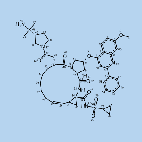 COc1ccc2c(O[C@@H]3C[C@H]4C(=O)N[C@]5(C(=O)NS(=O)(=O)C6CC6)CC5C=CCCCCC[C@H](CC(=O)N5CC[C@@H](C(C)(C)N)C5)C(=O)N4C3)cc(-c3ccccc3)nc2c1